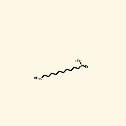 CCCCCCCCCCCCCCCCCCCC[S+](CC)CCC